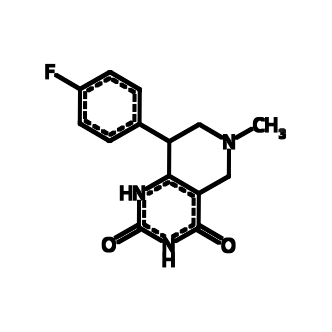 CN1Cc2c([nH]c(=O)[nH]c2=O)C(c2ccc(F)cc2)C1